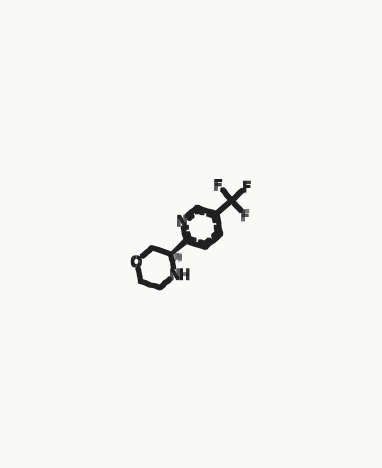 FC(F)(F)c1ccc([C@@H]2COCCN2)nc1